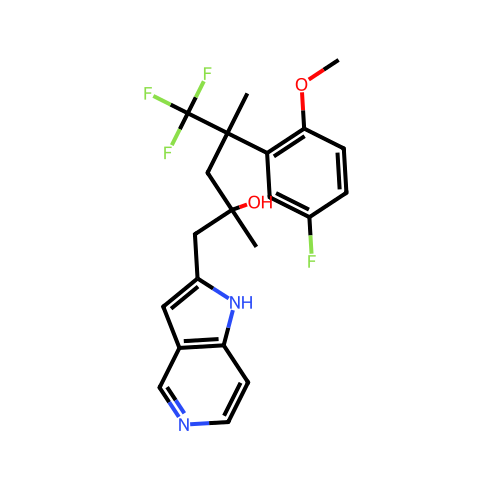 COc1ccc(F)cc1C(C)(CC(C)(O)Cc1cc2cnccc2[nH]1)C(F)(F)F